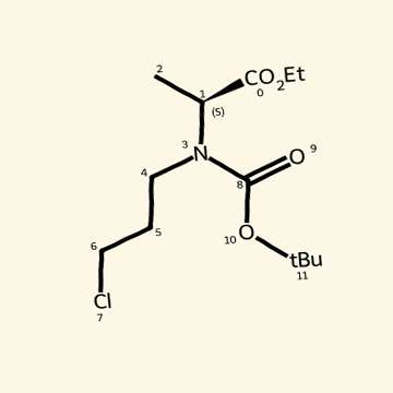 CCOC(=O)[C@H](C)N(CCCCl)C(=O)OC(C)(C)C